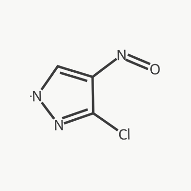 O=NC1=C[N]N=C1Cl